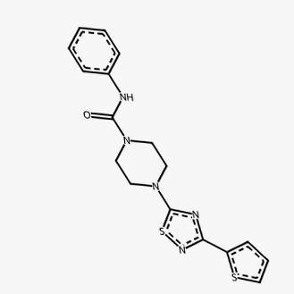 O=C(Nc1ccccc1)N1CCN(c2nc(-c3cccs3)ns2)CC1